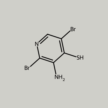 Nc1c(Br)ncc(Br)c1S